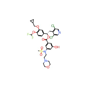 CS(=O)(=O)N(CCN1CCOCC1)c1cc(O)cc(C(=O)O[C@@H](Cc2c(Cl)cncc2Cl)c2ccc(OC(F)F)c(OCC3CC3)c2)c1